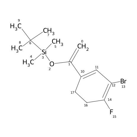 C=C(O[Si](C)(C)C(C)(C)C)C1=CC(Br)=C(F)CC1